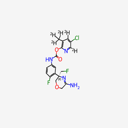 [2H]c1nc(OC(=O)Nc2ccc(F)c([C@]3(CF)COCC(N)=N3)c2)c(C([2H])([2H])[2H])c([2H])c1Cl